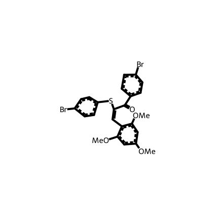 COc1cc(OC)c(/C=C(/Sc2ccc(Br)cc2)C(=O)c2ccc(Br)cc2)c(OC)c1